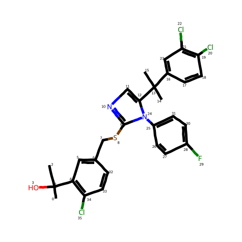 CC(C)(O)c1cc(CSc2ncc(C(C)(C)c3ccc(Cl)c(Cl)c3)n2-c2ccc(F)cc2)ccc1Cl